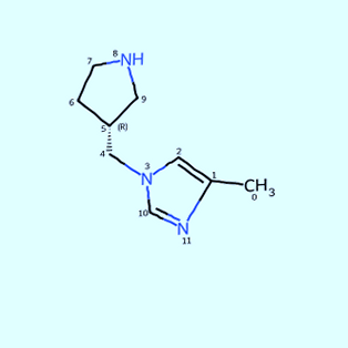 Cc1cn(C[C@@H]2CCNC2)cn1